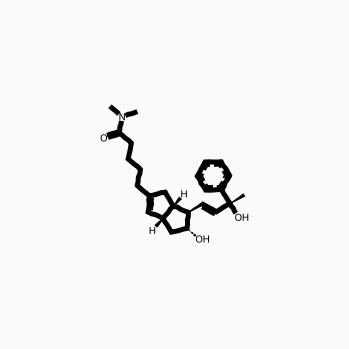 CN(C)C(=O)CCCCC1=C[C@H]2C[C@@H](O)[C@H](/C=C/[C@@](C)(O)c3ccccc3)[C@H]2C1